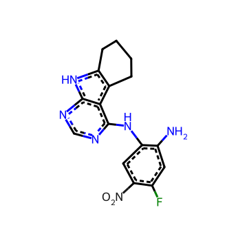 Nc1cc(F)c([N+](=O)[O-])cc1Nc1ncnc2[nH]c3c(c12)CCCC3